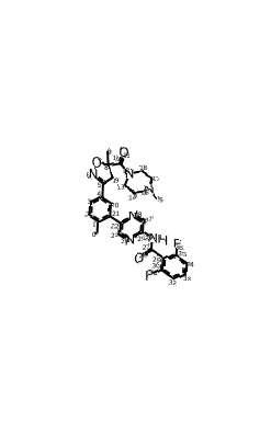 Cc1ccc(C2=NOC(C)(C(=O)N3CCN(C)CC3)C2)cc1-c1cnc(NC(=O)c2c(F)cccc2F)cn1